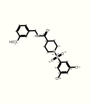 O=C(O)c1cccc(CNC(=O)C2CCN(S(=O)(=O)c3cc(Cl)cc(Cl)c3)CC2)c1